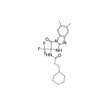 Cc1cc2nc3n(c2cc1C)C(=O)C(NC(=O)CCC1CCCCC1)(C(F)(F)F)N3